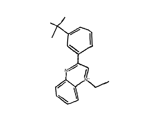 CC[n+]1cc(-c2cccc(C(C)(C)C)c2)nc2ccccc21